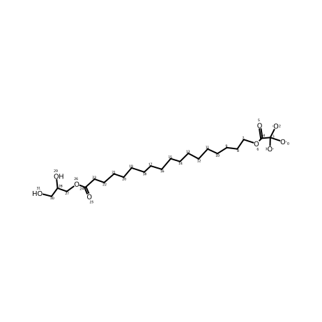 [O]C([O])([O])C(=O)OCCCCCCCCCCCCCCCCCC(=O)OCC(O)CO